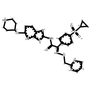 O=C(Nc1nc2ccc(OC3CCNCC3)nc2s1)/C(=N/OCc1ncccn1)c1ccc(S(=O)(=O)C2CC2)cc1